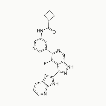 O=C(Nc1cncc(-c2ncc3[nH]nc(-c4nc5cccnc5[nH]4)c3c2F)c1)C1CCC1